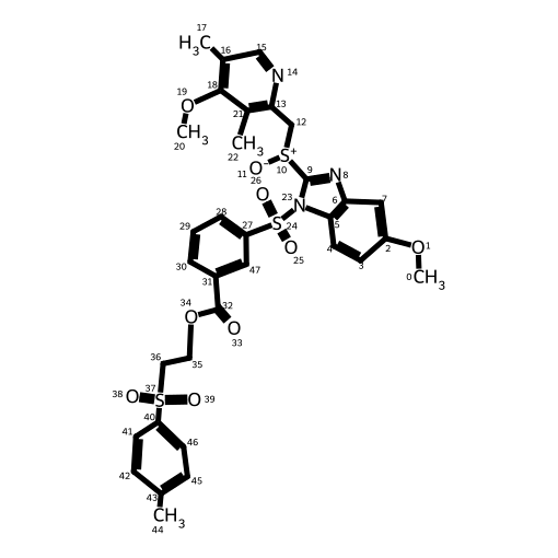 COc1ccc2c(c1)nc([S+]([O-])Cc1ncc(C)c(OC)c1C)n2S(=O)(=O)c1cccc(C(=O)OCCS(=O)(=O)c2ccc(C)cc2)c1